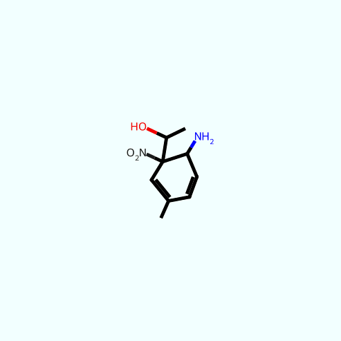 CC1=CC(C(C)O)([N+](=O)[O-])C(N)C=C1